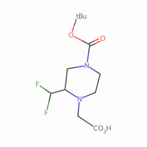 CC(C)(C)OC(=O)N1CCN(CC(=O)O)C(C(F)F)C1